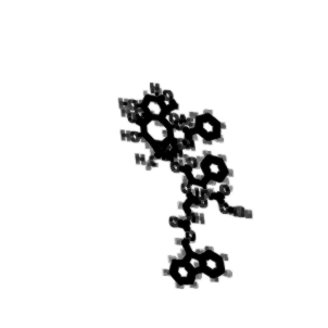 CC(=O)O[C@@]12CO[C@@H]1C[C@H](O)[C@@]1(C)C(=O)[C@H](O)C3=C(C)[C@@H](OC(=O)[C@H](OC(=O)CNC(=O)OCC4c5ccccc5-c5ccccc54)[C@@H](NC(=O)OC(C)(C)C)c4ccccc4)C[C@@](O)([C@@H](OC(=O)c4ccccc4)C12)C3(C)C